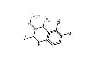 CCOC(=O)CN1C(Cl)Nc2ccc(Cl)c(Cl)c2C1C